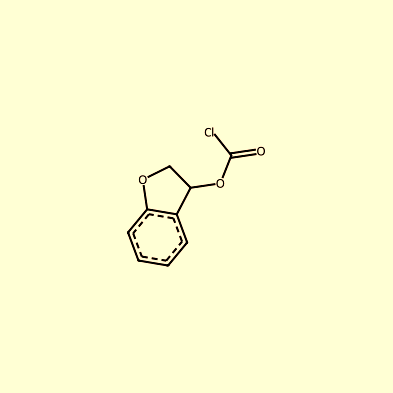 O=C(Cl)OC1COc2ccccc21